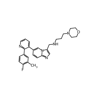 Cc1cc(-c2ncccc2-c2ccc3ncc(CNCCCN4CCOCC4)n3c2)ccc1F